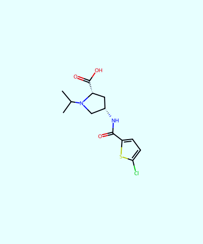 CC(C)N1C[C@@H](NC(=O)c2ccc(Cl)s2)C[C@H]1C(=O)O